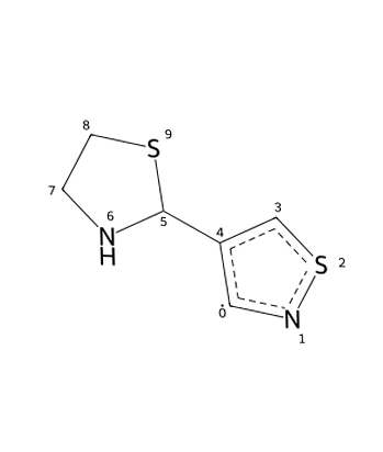 [c]1nscc1C1NCCS1